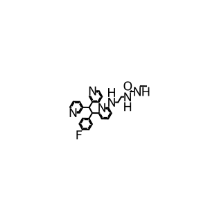 CCNC(=O)NCCNc1cccc(C(c2ccc(F)cc2)C(c2cccnc2)c2cccnc2)n1